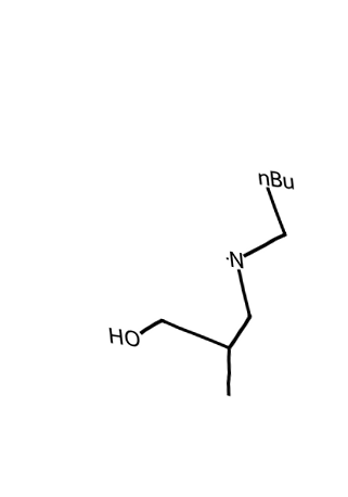 CCCCC[N]CC(C)CO